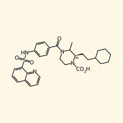 CC1[C@@H](CCC2CCCCC2)N(C(=O)O)CCN1C(=O)c1ccc(NS(=O)(=O)c2cccc3cccnc23)cc1